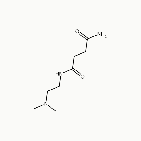 CN(C)CCNC(=O)CCC(N)=O